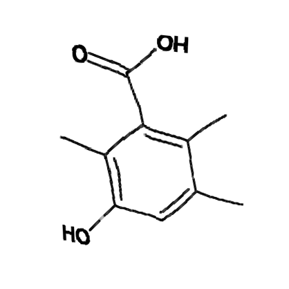 Cc1cc(O)c(C)c(C(=O)O)c1C